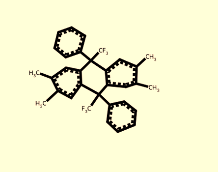 Cc1cc2c(cc1C)C(c1ccccc1)(C(F)(F)F)c1cc(C)c(C)cc1C2(c1ccccc1)C(F)(F)F